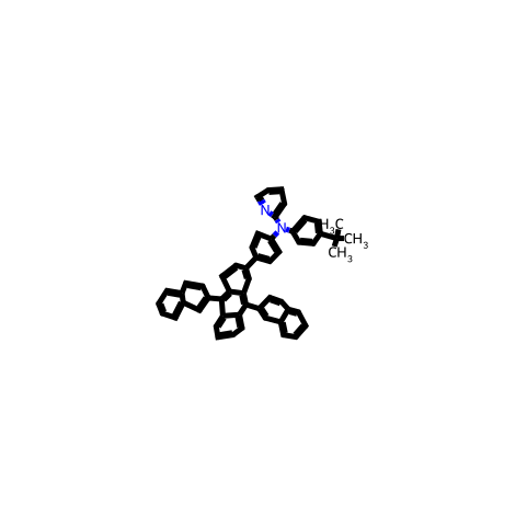 CC(C)(C)c1ccc(N(c2ccc(-c3ccc4c(-c5ccc6ccccc6c5)c5ccccc5c(-c5ccc6ccccc6c5)c4c3)cc2)c2ccccn2)cc1